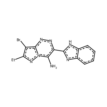 CCc1nn2c(N)c(-c3nc4ccccc4[nH]3)nnc2c1Br